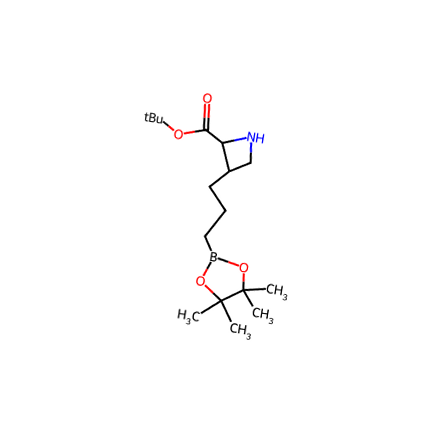 CC(C)(C)OC(=O)C1NCC1CCCB1OC(C)(C)C(C)(C)O1